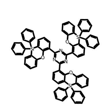 c1ccc([Si]2(c3ccccc3)c3ccccc3Oc3c(-c4nc(-c5cccc6c5Oc5ccccc5[Si]6(c5ccccc5)c5ccccc5)nc(-c5cccc6c5Oc5ccccc5[Si]6(c5ccccc5)c5ccccc5)n4)cccc32)cc1